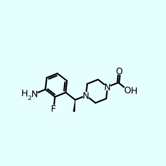 C[C@@H](c1cccc(N)c1F)N1CCN(C(=O)O)CC1